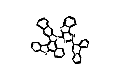 c1ccc2cc3c(cc2c1)c1c2c4ccccc4sc2c2ccccc2c1n3-c1nc(-c2cc3ccccc3c3ccccc23)nc2c1sc1ccccc12